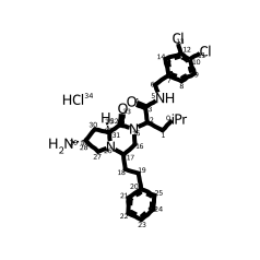 CC(C)CC(C(=O)NCc1ccc(Cl)c(Cl)c1)N1CC(CCc2ccccc2)N2C[C@H](N)C[C@H]2C1=O.Cl